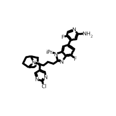 CC(C)n1c(CCCN2CC3CCC(C2)N3Cc2cnc(Cl)nc2)nc2c(F)cc(-c3cc(N)ncc3F)cc21